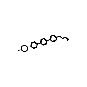 C[C@H]1CC[C@H](c2ccc(-c3ccc(-c4ccc(CCCF)cc4)cc3)cc2)CC1